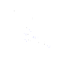 Cc1cc(Nc2ncnc3cc(-c4ccc(N)cc4)[nH]c23)ccc1OCc1cccc(F)c1